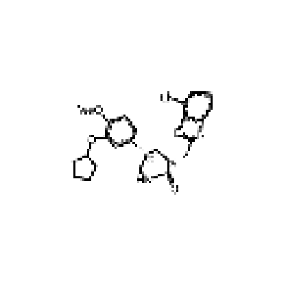 COc1ccc([C@H]2CNC(=O)[C@@H](Cc3nc4cccc(Cl)c4o3)C2)cc1OC1CCCC1